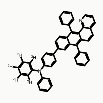 [2H]c1c([2H])c([2H])c(N(c2ccccc2)c2ccc(-c3ccc4c(-c5ccccc5)c5c(ccc6cccnc65)c(-c5ccccc5)c4c3)cc2)c([2H])c1[2H]